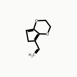 C=CC1=C2OCCOC2=CC1